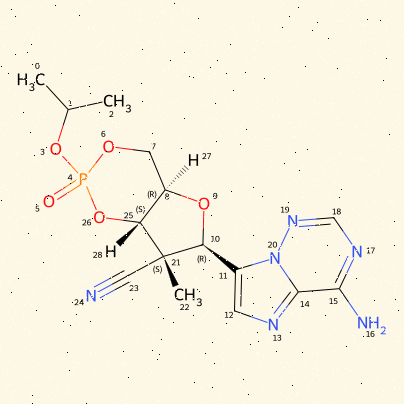 CC(C)OP1(=O)OC[C@H]2O[C@@H](c3cnc4c(N)ncnn34)[C@](C)(C#N)[C@@H]2O1